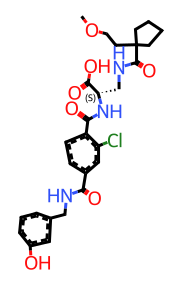 COCCC1(C(=O)NC[C@H](NC(=O)c2ccc(C(=O)NCc3cccc(O)c3)cc2Cl)C(=O)O)CCCC1